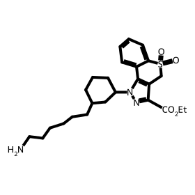 CCOC(=O)c1nn(C2CCCC(CCCCCCN)C2)c2c1CS(=O)(=O)c1ccccc1-2